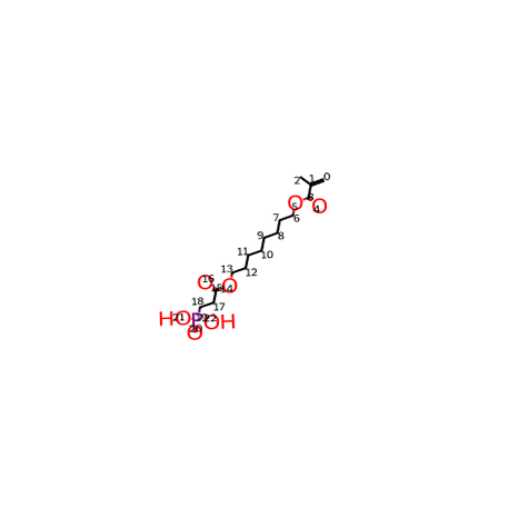 C=C(C)C(=O)OCCCCCCCCOC(=O)CCP(=O)(O)O